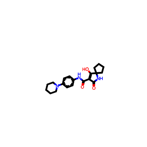 O=C(Nc1ccc(N2CCCCC2)cc1)C1=C(O)C2(CCCC2)NC1=O